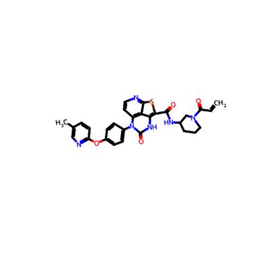 C=CC(=O)N1CCCC(NC(=O)c2sc3nccc4c3c2NC(=O)N4c2ccc(Oc3ccc(C)cn3)cc2)C1